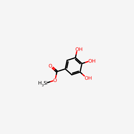 O=C(O[SiH3])c1cc(O)c(O)c(O)c1